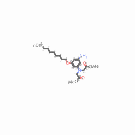 CCCCCCCCCCCCCCCCCCOc1cc(N)cc(N(CC(=O)OC)CC(=O)OC)c1